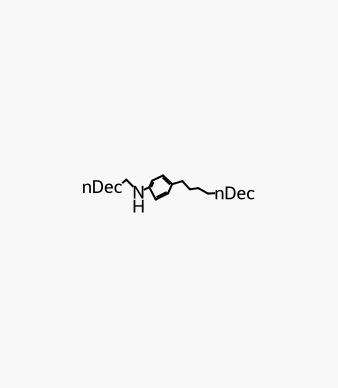 CCCCCCCCCCCCCCc1ccc(NCCCCCCCCCCC)cc1